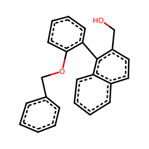 OCc1ccc2ccccc2c1-c1ccccc1OCc1ccccc1